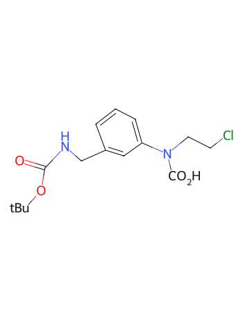 CC(C)(C)OC(=O)NCc1cccc(N(CCCl)C(=O)O)c1